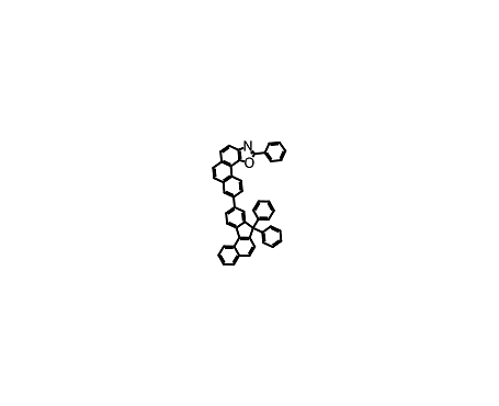 c1ccc(-c2nc3ccc4ccc5cc(-c6ccc7c(c6)C(c6ccccc6)(c6ccccc6)c6ccc8ccccc8c6-7)ccc5c4c3o2)cc1